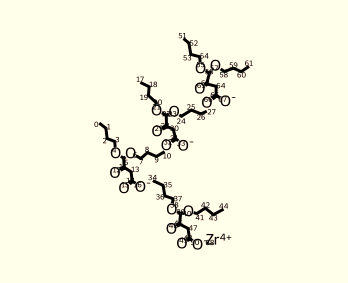 CCCCOC(OCCCC)C(=O)CC(=O)[O-].CCCCOC(OCCCC)C(=O)CC(=O)[O-].CCCCOC(OCCCC)C(=O)CC(=O)[O-].CCCCOC(OCCCC)C(=O)CC(=O)[O-].[Zr+4]